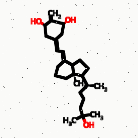 C=C1[C@H](O)CC(=C/C=C2\CCC[C@@]3(C)C2CCC3[C@@H](C)CCCC(C)(C)O)C[C@H]1O